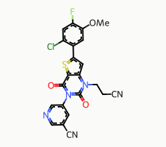 COc1cc(-c2cc3c(s2)c(=O)n(-c2cncc(C#N)c2)c(=O)n3CCC#N)c(Cl)cc1F